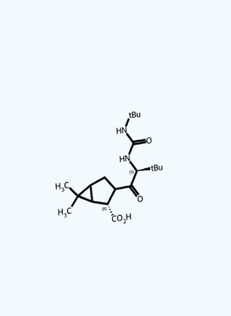 CC(C)(C)NC(=O)N[C@H](C(=O)C1CC2C([C@H]1C(=O)O)C2(C)C)C(C)(C)C